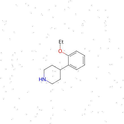 CCOc1ccccc1C1CCNCC1